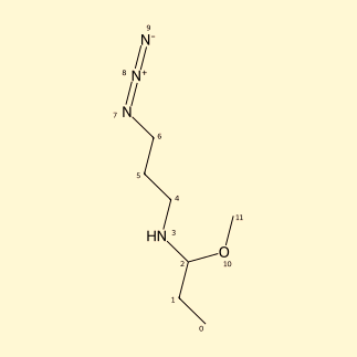 CCC(NCCCN=[N+]=[N-])OC